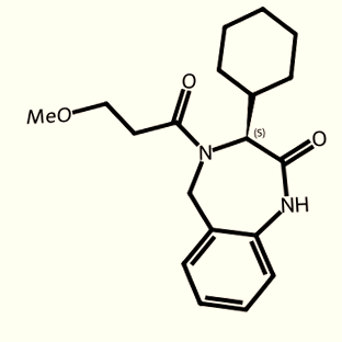 COCCC(=O)N1Cc2ccccc2NC(=O)[C@@H]1C1CCCCC1